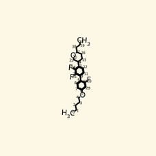 CCCCCOc1ccc(-c2ccc(C3CCC(CCC)OC3)c(F)c2F)c(F)c1